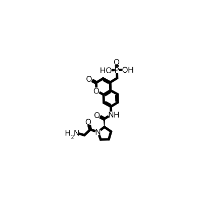 NCC(=O)N1CCC[C@@H]1C(=O)Nc1ccc2c(CP(=O)(O)O)cc(=O)oc2c1